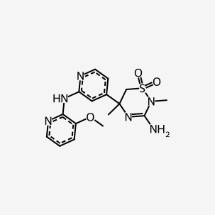 COc1cccnc1Nc1cc(C2(C)CS(=O)(=O)N(C)C(N)=N2)ccn1